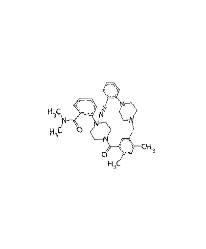 Cc1cc(C)c(C(=O)N2CCN(c3ccccc3C(=O)N(C)C)CC2)cc1CN1CCN(c2ccccc2C#N)CC1